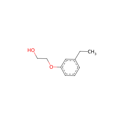 CCc1cccc(OCCO)c1